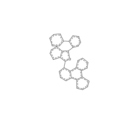 c1ccc(-c2ccccc2-c2oc(-c3cccc4c5ccccc5c5ccccc5c34)c3ccccc23)cc1